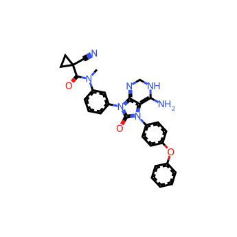 CN(C(=O)C1(C#N)CC1)c1cccc(-n2c3c(n(-c4ccc(Oc5ccccc5)cc4)c2=O)=C(N)NCN=3)c1